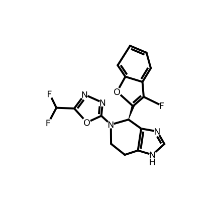 Fc1c([C@H]2c3nc[nH]c3CCN2c2nnc(C(F)F)o2)oc2ccccc12